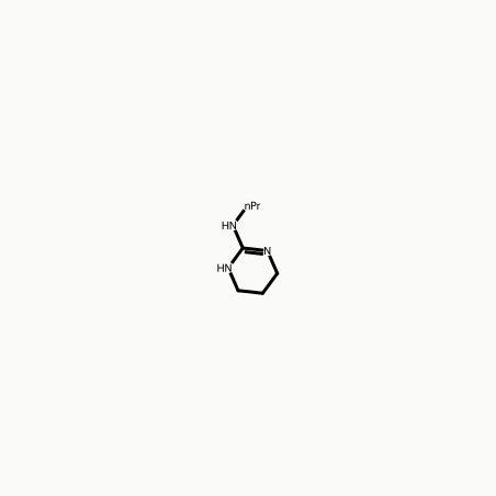 [CH2]CCNC1=NCCCN1